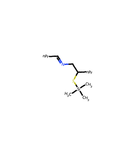 CCCC=NCC(CCC)S[Si](C)(C)C